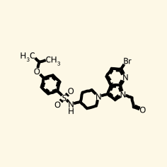 CC(C)Oc1ccc(S(=O)(=O)NC2CCN(c3cn(CC=O)c4nc(Br)ccc34)CC2)cc1